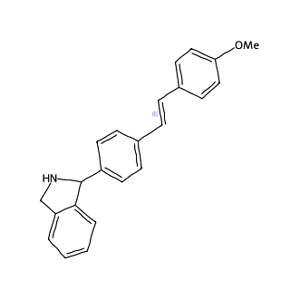 COc1ccc(/C=C/c2ccc(C3NCc4ccccc43)cc2)cc1